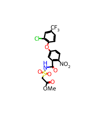 COC(=O)CS(=O)(=O)NC(=O)c1cc(Oc2ccc(C(F)(F)F)cc2Cl)ccc1[N+](=O)[O-]